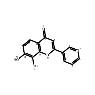 O=c1cc(-c2cccnc2)oc2c(O)c(O)ccc12